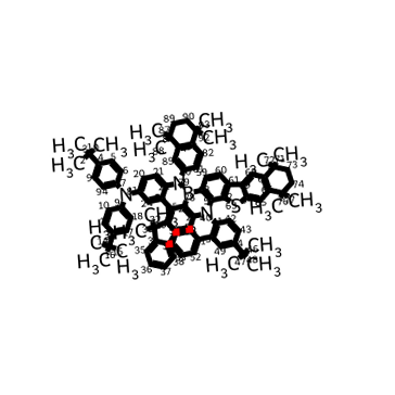 CC(C)(C)c1ccc(N(c2ccc(C(C)(C)C)cc2)c2ccc3c(c2)-c2c4c(cc5c2C(C)(C)c2ccccc2-5)N(c2ccc(C(C)(C)C)cc2-c2ccccc2)c2c(ccc5c2sc2cc6c(cc25)C(C)(C)CCC6(C)C)B4N3c2ccc3c(c2)C(C)(C)CCC3(C)C)cc1